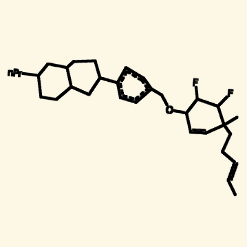 C/C=C/CCC1(C)C=CC(OCc2ccc(C3CCC4CC(CCC)CCC4C3)cc2)C(F)C1F